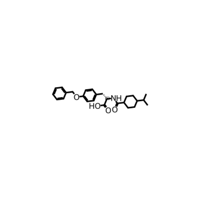 CC(C)C1CCC(C(=O)N[C@@H](Cc2ccc(OCc3ccccc3)cc2)C(=O)O)CC1